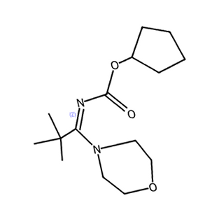 CC(C)(C)/C(=N/C(=O)OC1CCCC1)N1CCOCC1